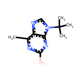 Bc1nc(C)c2ncn(C(C)(C)C)c2n1